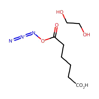 OCCO.[N-]=[N+]=NOC(=O)CCCCC(=O)O